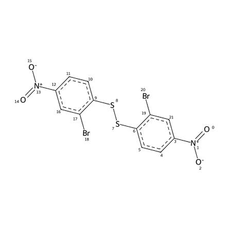 O=[N+]([O-])c1ccc(SSc2ccc([N+](=O)[O-])cc2Br)c(Br)c1